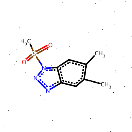 Cc1cc2nnn(S(C)(=O)=O)c2cc1C